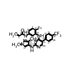 C=CC(=O)Nc1ccc(F)c(Nc2nc(Nc3cn(C)nc3C)ncc2-c2ccc(C(F)(F)F)cc2)c1